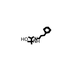 CC(C)C(C)(CO)N[N]CCCc1ccccc1